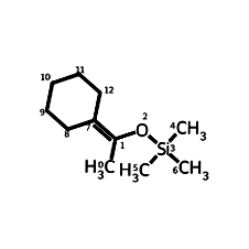 CC(O[Si](C)(C)C)=C1CCCCC1